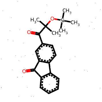 CC(C)(O[Si](C)(C)C)C(=O)c1ccc2c(c1)C(=O)c1ccccc1-2